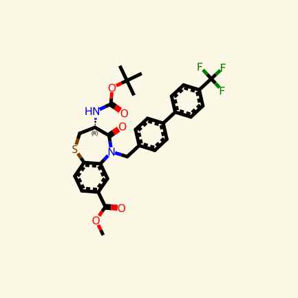 COC(=O)c1ccc2c(c1)N(Cc1ccc(-c3ccc(C(F)(F)F)cc3)cc1)C(=O)[C@@H](NC(=O)OC(C)(C)C)CS2